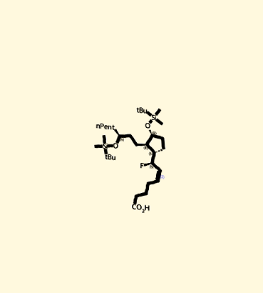 CCCCC[C@@H](CC[C@@H]1[C@@H]([C@H](F)/C=C\CCCC(=O)O)CC[C@H]1O[Si](C)(C)C(C)(C)C)O[Si](C)(C)C(C)(C)C